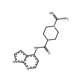 N=C(N)N1CCC(C(=O)Nc2ccnc3[nH]ccc23)CC1